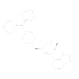 CN1C[C@H](CN2CCN(C(c3ccccc3)c3ccccc3)CC2)C=C2c3cccc4[nH]c(Cl)c(c34)C[C@H]21